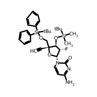 C#C[C@]1(CO[Si](c2ccccc2)(c2ccccc2)C(C)(C)C)O[C@@H](n2ccc(N)nc2=O)[C@@H](F)[C@@H]1O[Si](C)(C)C(C)(C)C